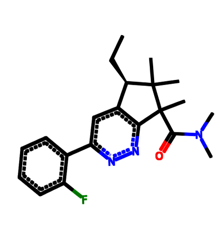 CC[C@@H]1c2cc(-c3ccccc3F)nnc2C(C)(C(=O)N(C)C)C1(C)C